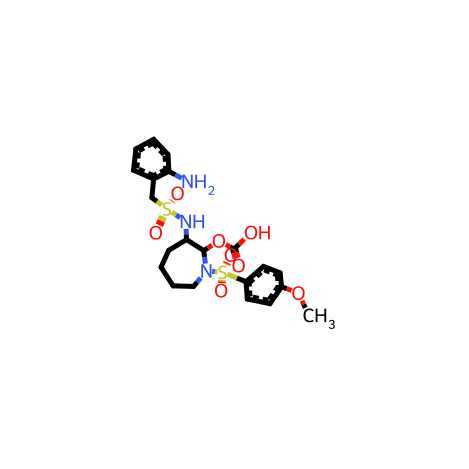 COc1ccc(S(=O)(=O)N2CCCCC(NS(=O)(=O)Cc3ccccc3N)C2OC(=O)O)cc1